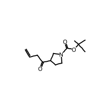 C=CCC(=O)C1CCN(C(=O)OC(C)(C)C)C1